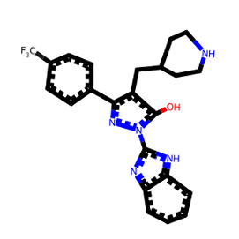 Oc1c(CC2CCNCC2)c(-c2ccc(C(F)(F)F)cc2)nn1-c1nc2ccccc2[nH]1